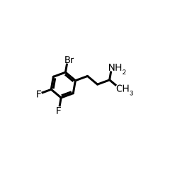 CC(N)CCc1cc(F)c(F)cc1Br